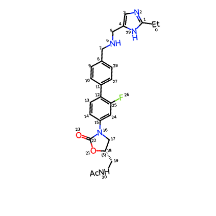 CCc1ncc(CNCc2ccc(-c3ccc(N4C[C@H](CNC(C)=O)OC4=O)cc3F)cc2)[nH]1